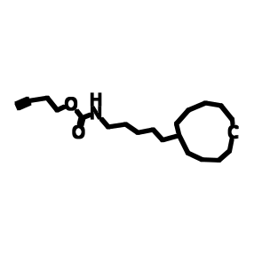 C#CCCOC(=O)NCCCCCC1CCCCCCCCCC1